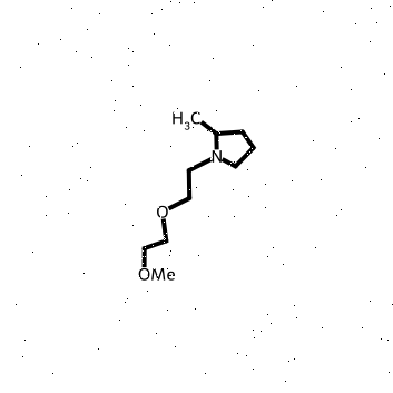 COCCOCCN1CCCC1C